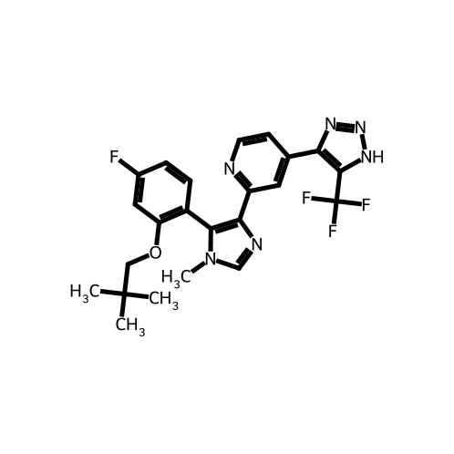 Cn1cnc(-c2cc(-c3nn[nH]c3C(F)(F)F)ccn2)c1-c1ccc(F)cc1OCC(C)(C)C